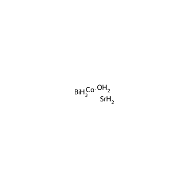 O.[BiH3].[Co].[SrH2]